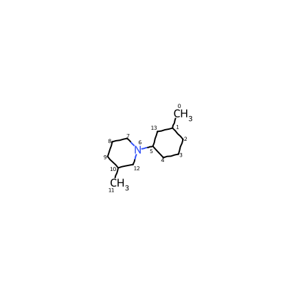 CC1CCCC(N2CCCC(C)C2)C1